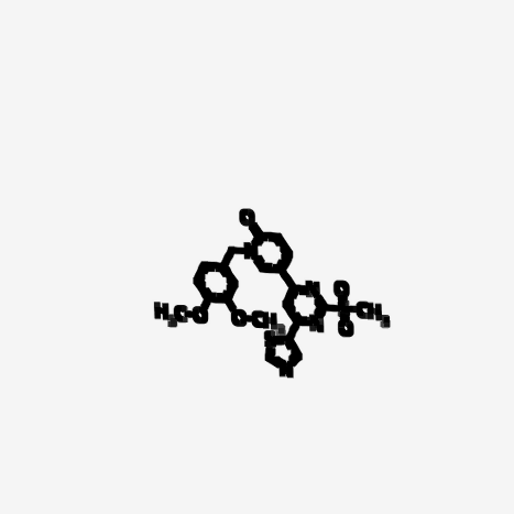 COc1ccc(Cn2cc(-c3cc(-c4cncs4)nc(S(C)(=O)=O)n3)ccc2=O)cc1OC